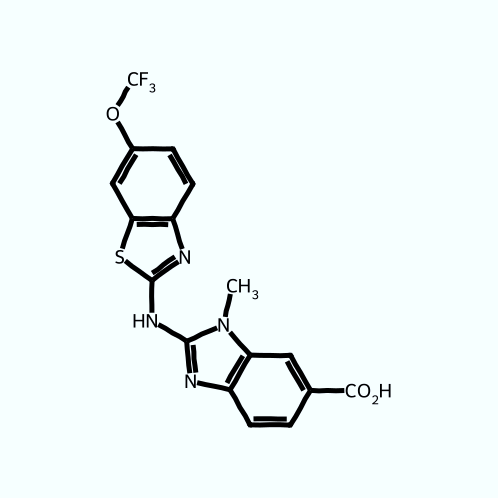 Cn1c(Nc2nc3ccc(OC(F)(F)F)cc3s2)nc2ccc(C(=O)O)cc21